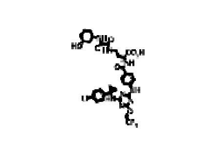 O=C(NCC[C@H](NC(=O)c1ccc(Nc2nc(NC3(c4ccc(Cl)cc4)CC3)nc(OCC(F)(F)F)n2)cc1)C(=O)O)C(=O)NC1CCCC(O)C1